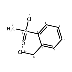 CP(=O)(Cl)c1ccccc1CCl